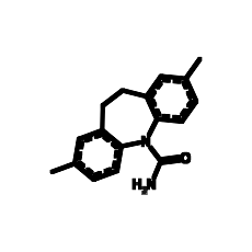 Cc1ccc2c(c1)CCc1cc(C)ccc1N2C(N)=O